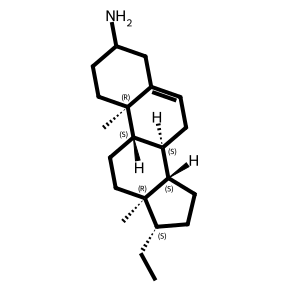 CC[C@H]1CC[C@H]2[C@@H]3CC=C4CC(N)CC[C@]4(C)[C@H]3CC[C@]12C